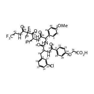 COc1ccc(C(NC(=O)C(Cc2cccc(Cl)c2)NC(=O)c2ccc(OCC(=O)O)cc2)C(=O)NC(C(=O)C(F)(F)C(=O)NCC(F)(F)F)C(C)C)cc1